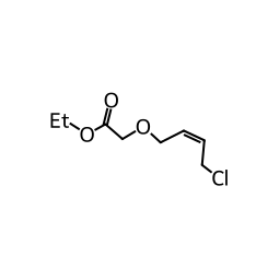 CCOC(=O)COC/C=C\CCl